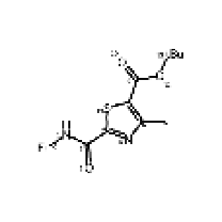 CCNC(=O)c1nc(C)c(C(=O)OC(C)(C)C)s1